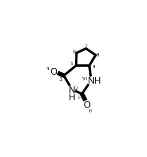 O=C1NC(=O)C2CCCC2N1